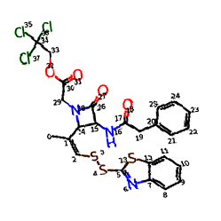 CC(=CSSc1nc2ccccc2s1)C1C(NC(=O)Cc2ccccc2)C(=O)N1CC(=O)OCC(Cl)(Cl)Cl